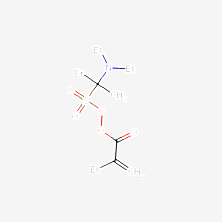 C=C(CC)C(=O)OOS(=O)(=O)C(C)(CC)N(CC)CC